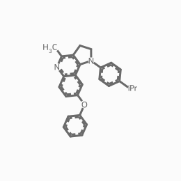 Cc1nc2ccc(Oc3ccccc3)cc2c2c1CCN2c1ccc(C(C)C)cc1